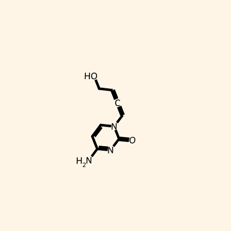 Nc1ccn(C=C=CCO)c(=O)n1